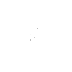 O=C(NNS(=O)(=O)CC1CCCCC1)c1cc(Cl)cc(Cl)c1F